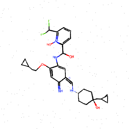 N=C1C=C(OCC2CC2)C(NC(O)c2cccc(C(F)F)[n+]2O)=C/C1=C/N[C@H]1CC[C@@](O)(C2CC2)CC1